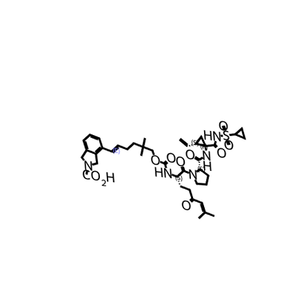 C=C[C@@H]1C[C@]1(NC(=O)[C@@H]1CCCN1C(=O)[C@H](CCC(=O)C=C(C)C)NC(=O)OCC(C)(C)CC/C=C/c1cccc2c1CN(C(=O)O)C2)C(=O)NS(=O)(=O)C1CC1